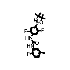 Cc1ccc(F)c(NC(=O)Nc2cc(F)c(B3OC(C)(C)C(C)(C)O3)cc2F)c1